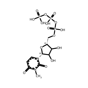 Cn1c(=O)ccn([C@@H]2O[C@H](COP(=O)(O)OP(=O)(O)OP(=O)(O)O)C(O)C2O)c1=O